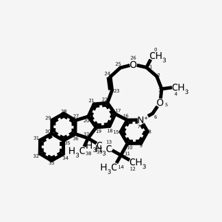 CC1CC(C)OC[n+]2ccc(C(C)(C)C)cc2-c2cc3c(cc2/C=C/CO1)-c1ccc2ccccc2c1C3(C)C